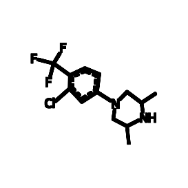 CC1CN(c2ccc(C(F)(F)F)c(Cl)c2)CC(C)N1